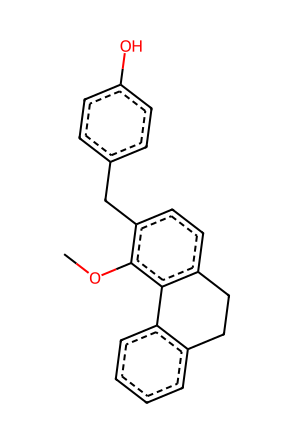 COc1c(Cc2ccc(O)cc2)ccc2c1-c1ccccc1CC2